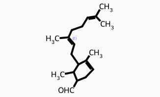 CC(C)=CCC/C(C)=C/CC1C(C)=CCC(C=O)C1C